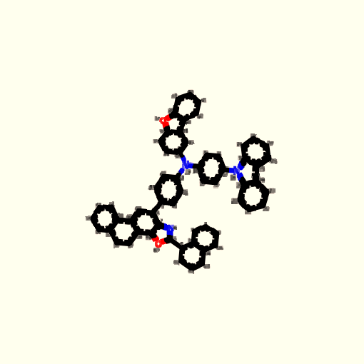 c1ccc2c(-c3nc4c(-c5ccc(N(c6ccc(-n7c8ccccc8c8ccccc87)cc6)c6ccc7oc8ccccc8c7c6)cc5)cc5c6ccccc6ccc5c4o3)cccc2c1